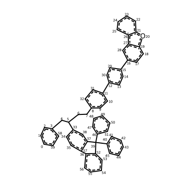 c1ccc(CC(CCc2ccc(-c3ccc(-c4ccc5oc6ccccc6c5c4)cc3)cc2)c2ccc3c(c2)C(c2ccccc2)(c2ccccc2)c2ccccc2-3)cc1